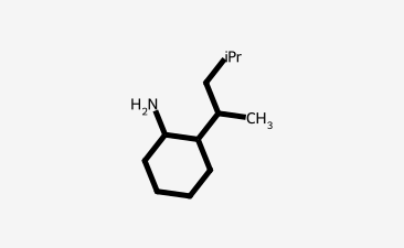 CC(C)CC(C)C1CCCCC1N